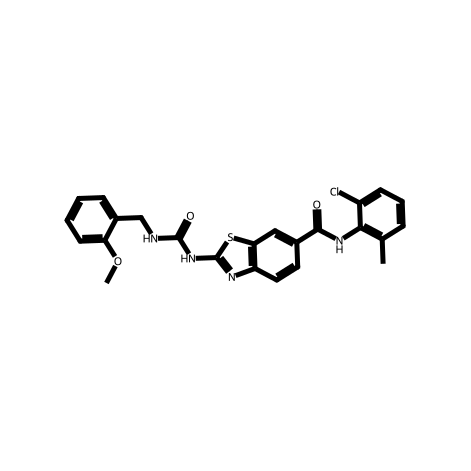 COc1ccccc1CNC(=O)Nc1nc2ccc(C(=O)Nc3c(C)cccc3Cl)cc2s1